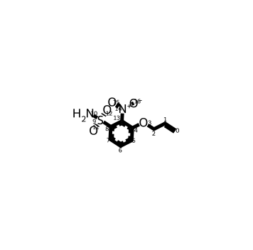 C=CCOc1cccc(S(N)(=O)=O)c1[N+](=O)[O-]